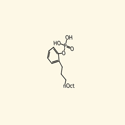 CCCCCCCCCCCc1ccccc1OP(=O)(O)O